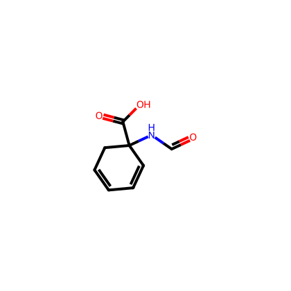 O=CNC1(C(=O)O)C=CC=CC1